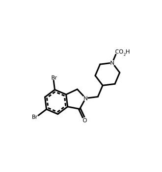 O=C(O)N1CCC(CN2Cc3c(Br)cc(Br)cc3C2=O)CC1